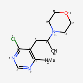 CNc1ncnc(Cl)c1CC(C#N)N1CCOCC1